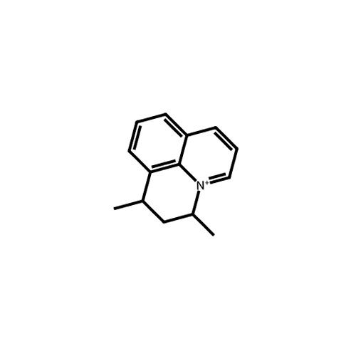 CC1CC(C)[n+]2cccc3cccc1c32